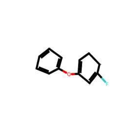 FC1=CC(Oc2ccccc2)=CC[CH]1